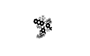 CCC(C)(C)c1ccc(Oc2cc(Nc3c(C)cc(C)c(S(=O)(=O)[O-])c3C)c3c(c2N)C(=O)c2ccccc2C3=O)c(S(=O)(=O)[O-])c1.[Na+].[Na+]